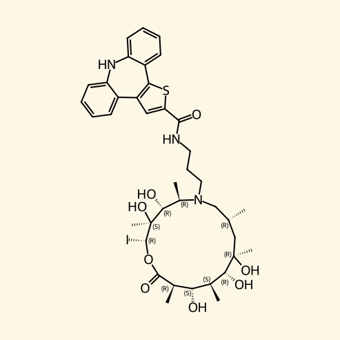 C[C@H]1CN(CCCNC(=O)c2cc3c(s2)-c2ccccc2Nc2ccccc2-3)[C@H](C)[C@@H](O)[C@](C)(O)[C@@H](I)OC(=O)[C@H](C)[C@@H](O)[C@H](C)[C@@H](O)[C@](C)(O)C1